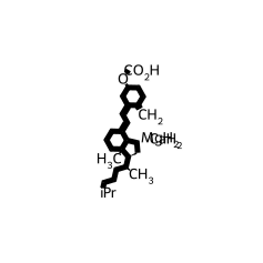 C=C1CC[C@H](OC(=O)O)C/C1=C/C=C1\CCC[C@@]2(C)C1CC[C@@H]2[C@H](C)CCCC(C)C.[CaH2].[MgH2]